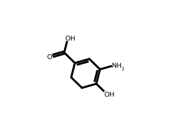 NC1=C(O)CCC(C(=O)O)=C1